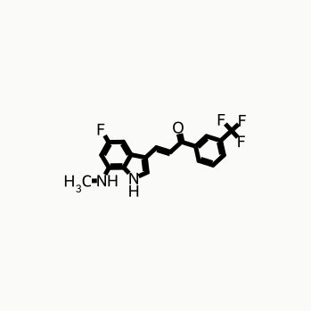 CNc1cc(F)cc2c(/C=C/C(=O)c3cccc(C(F)(F)F)c3)c[nH]c12